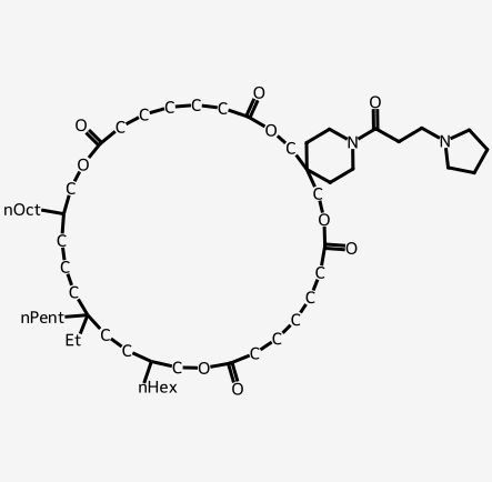 CCCCCCCCC1CCCC(CC)(CCCCC)CCC(CCCCCC)COC(=O)CCCCCC(=O)OCC2(CCN(C(=O)CCN3CCCC3)CC2)COC(=O)CCCCCC(=O)OC1